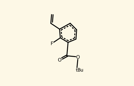 C=Cc1cccc(C(=O)OC(C)(C)C)c1F